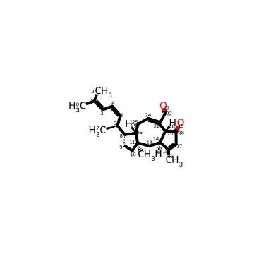 CC(C)=C/C=C\[C@H](C)[C@H]1CC[C@]2(C)C[C@@H]3C(C)=CC(=O)[C@H]3/C(C=O)=C\C[C@@H]12